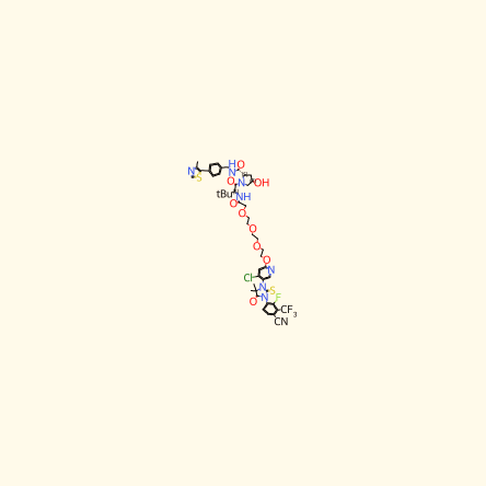 Cc1ncsc1-c1ccc(CNC(=O)[C@@H]2C[C@@H](O)CN2C(=O)[C@@H](NC(=O)COCCOCCOCCOc2cc(Cl)c(N3C(=S)N(c4ccc(C#N)c(C(F)(F)F)c4F)C(=O)C3(C)C)cn2)C(C)(C)C)cc1